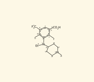 CCN(c1c(C)c(C(=O)O)cc(C(F)(F)F)c1C)C1CCN(C)CC1